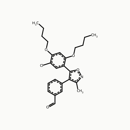 CCCCOc1cc(OCCCC)c(-c2onc(C)c2-c2cccc(C=O)c2)cc1Cl